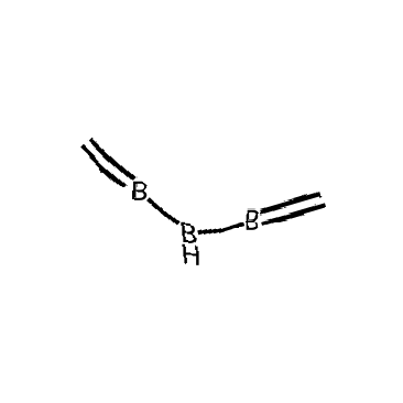 C=BBB=C